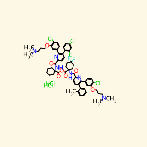 Cc1ccccc1-c1ccc(C(=O)NC2(C(=O)OC(=O)C3(NC(=O)c4ccc(-c5ccc(Cl)cc5Cl)c(-c5ccc(Cl)c(OCCCN(C)C)c5)n4)CCCCC3)CCC(F)(F)CC2)nc1-c1ccc(Cl)c(OCCCN(C)C)c1.Cl.Cl